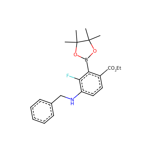 CCOC(=O)c1ccc(NCc2ccccc2)c(F)c1B1OC(C)(C)C(C)(C)O1